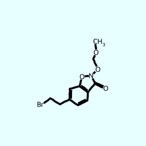 COCOn1oc2cc(CCBr)ccc2c1=O